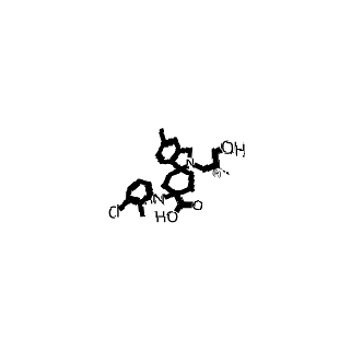 Cc1ccc2c(c1)CN(C[C@@H](C)CO)C21CCC(Nc2cccc(Cl)c2C)(C(=O)O)CC1